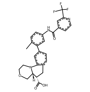 Cc1ccc(NC(=O)c2ccnc(C(F)(F)F)c2)cc1-c1ccc2c(c1)N1CCOC[C@H]1[C@@H](C(=O)O)C2